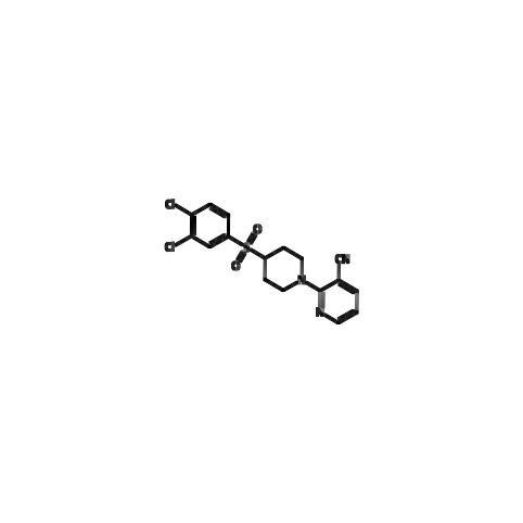 N#Cc1cccnc1N1CCC(S(=O)(=O)c2ccc(Cl)c(Cl)c2)CC1